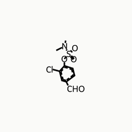 CN(C)S(=O)(=O)Oc1ccc(C=O)cc1Cl